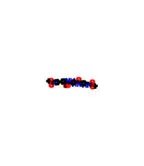 COc1cc(C2=CCN(C(=O)OC(C)(C)C)CC2)ccc1NC(=O)c1ccc(C(=O)Nc2ccc(CNC(=O)OC(C)(C)C)cc2)cc1